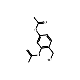 C=C(C)Oc1cc(OC(C)=O)ccc1CO